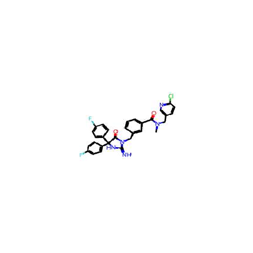 CN(Cc1ccc(Cl)nc1)C(=O)c1cccc(CN2C(=N)NC(c3ccc(F)cc3)(c3ccc(F)cc3)C2=O)c1